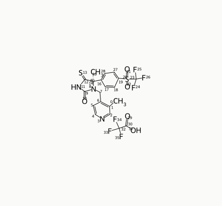 Cc1cnccc1CN1C(=O)NC(=S)[C@@]1(C)c1ccc(S(=O)(=O)C(F)(F)F)cc1.O=C(O)C(F)(F)F